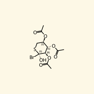 CC(=O)O[C@@H]1[C@@H](OC(C)=O)[C@@](O)(Br)SC[C@H]1OC(C)=O